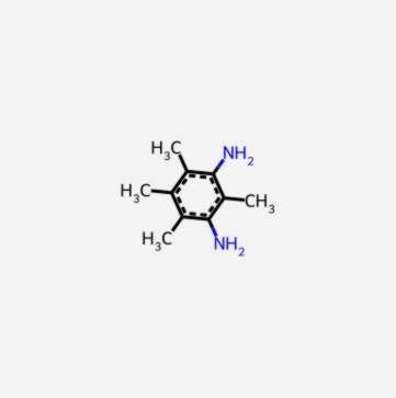 Cc1c(C)c(N)c(C)c(N)c1C